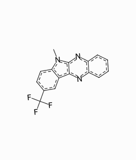 Cn1c2ccc(C(F)(F)F)cc2c2nc3ccccc3nc21